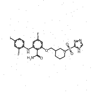 NC(=O)c1c(Nc2ccc(I)cc2F)cc(F)cc1OCC1CCCN(S(=O)(=O)c2nnc[nH]2)C1